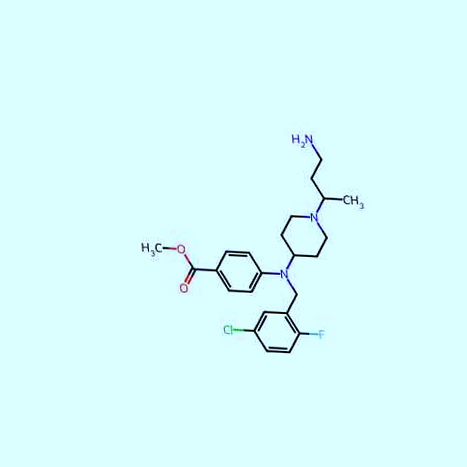 COC(=O)c1ccc(N(Cc2cc(Cl)ccc2F)C2CCN(C(C)CCN)CC2)cc1